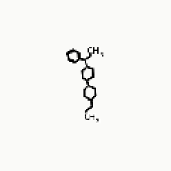 CCCC1CCC(C2CCC(C(CC)c3ccccc3)CC2)CC1